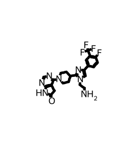 NCCn1cc(-c2ccc(F)c(C(F)(F)F)c2)nc1C1CCN(c2ncnc3c2CC(=O)N3)CC1